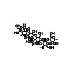 CO[C@H]1C(CO)O[C@@H](O[C@@H]2C(CO)O[C@@H](C)C(O)[C@H]2O)C(O)[C@H]1O[C@@H]1OC(CO)[C@@H](O[C@@H]2OC(CO)[C@H](O)[C@H](O[C@]3(C(=O)O)C[C@@H](O)[C@@H](C)C(C(O)C(O)CO)O3)C2O)[C@H](O)C1NC(C)=O